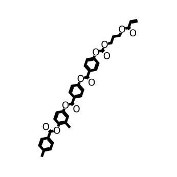 C=CC(=O)OCCCOC(=O)Oc1ccc(C(=O)Oc2ccc(C(=O)Oc3ccc(OC(=O)c4ccc(C)cc4)c(C)c3)cc2)cc1